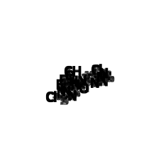 COC[C@@]1(C(F)(F)F)CN(C(=O)Nc2cnc(-n3nccn3)c(Cl)c2)c2cnc3cc(Cl)nn3c21